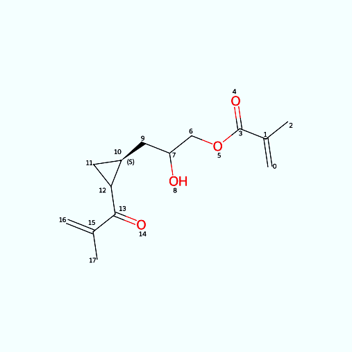 C=C(C)C(=O)OCC(O)C[C@@H]1CC1C(=O)C(=C)C